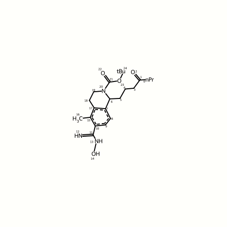 CCCC(=O)CCCC1c2ccc(C(=N)NO)c(C)c2CCN1C(=O)OC(C)(C)C